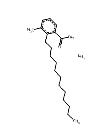 CCCCCCCCCCCCc1c(C)cccc1C(=O)O.N